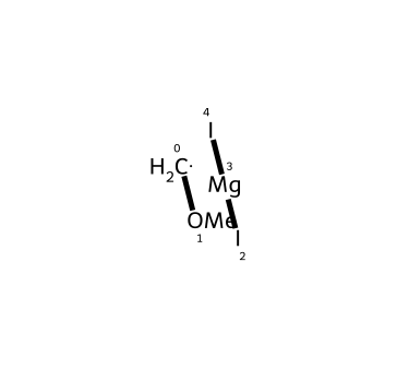 [CH2]OC.[I][Mg][I]